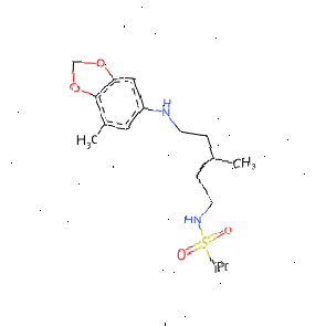 Cc1cc(NCCC(C)CCNS(=O)(=O)C(C)C)cc2c1OCO2